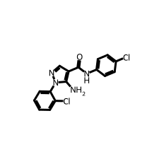 Nc1c(C(=O)Nc2ccc(Cl)cc2)cnn1-c1ccccc1Cl